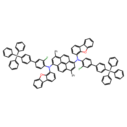 CC(C)c1cc(N(c2ccc(-c3ccc([Si](c4ccccc4)(c4ccccc4)c4ccccc4)cc3)cc2F)c2cccc3c2oc2ccccc23)c2ccc3c(C(C)C)cc(N(c4ccc(-c5ccc([Si](c6ccccc6)(c6ccccc6)c6ccccc6)cc5)cc4F)c4cccc5c4oc4ccccc45)c4ccc1c2c34